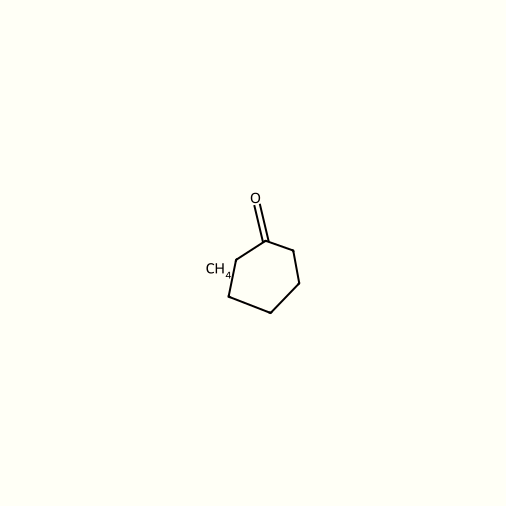 C.O=C1CCCCC1